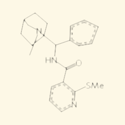 CSc1ncccc1C(=O)NC(c1ccccc1)C12CCC(CC1)CN2C